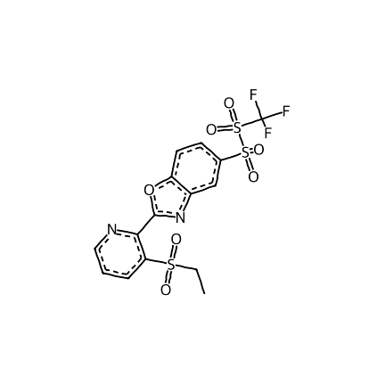 CCS(=O)(=O)c1cccnc1-c1nc2cc(S(=O)(=O)S(=O)(=O)C(F)(F)F)ccc2o1